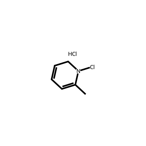 CC1=CC=CCN1Cl.Cl